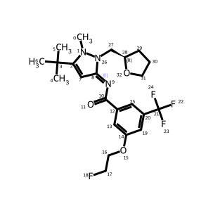 Cn1c(C(C)(C)C)c/c(=N\C(=O)c2cc(OCCF)cc(C(F)(F)F)c2)n1C[C@H]1CCCO1